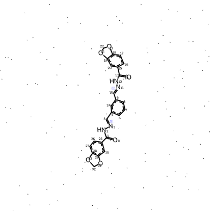 O=C(N/N=C/c1cccc(/C=N/NC(=O)c2ccc3c(c2)OCO3)c1)c1ccc2c(c1)OCO2